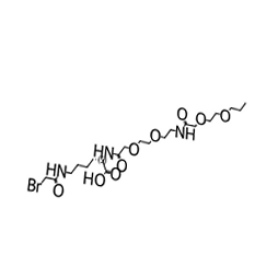 CCCOCCOCC(=O)NCCOCCOCC(=O)N[C@@H](CCCCNC(=O)CBr)C(=O)O